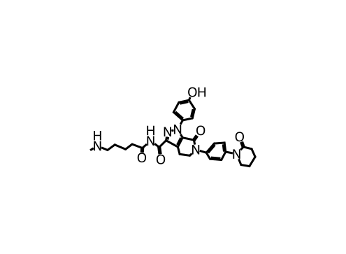 CNCCCCC(=O)NC(=O)c1nn(-c2ccc(O)cc2)c2c1CCN(c1ccc(N3CCCCC3=O)cc1)C2=O